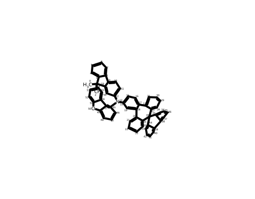 CC1(C)c2ccccc2-c2ccc(N(c3ccc4c(c3)-c3ccccc3C3(c5ccccc5-4)c4ccccc4-c4ccccc43)c3cccc4oc5ccccc5c34)cc21